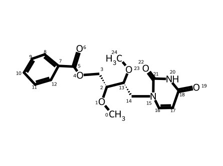 CO[C@H](COC(=O)c1ccccc1)[C@@H](Cn1ccc(=O)[nH]c1=O)OC